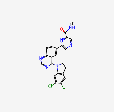 CCNC(=O)c1cncc(-c2ccc3ncnc(N4CCc5cc(F)c(Cl)cc54)c3c2)n1